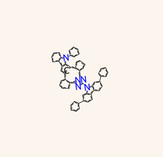 c1ccc(-c2ccc3c4ccc(-c5ccccc5)cc4n(-c4nc5nc(n4)c4ccccc4c4cc(cc6c7ccccc7n(-c7ccccc7)c46)c4ccccc54)c3c2)cc1